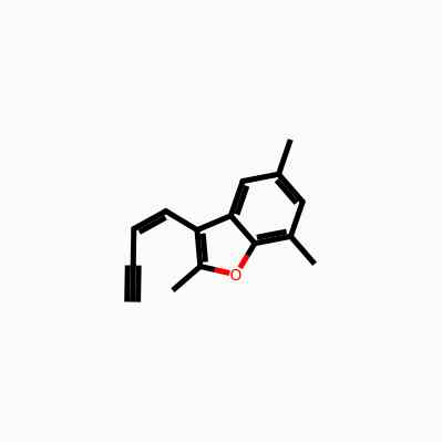 C#C/C=C\c1c(C)oc2c(C)cc(C)cc12